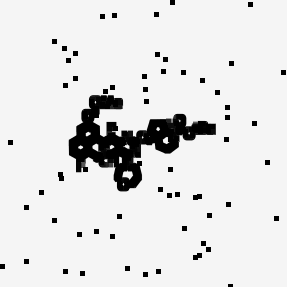 C#Cc1c(F)ccc2cc(OCOC)cc(-c3ncc4c(N5CCCOCC5)nc(OC[C@]56CCC[C@H]5N(C(=O)OC(C)(C)C)CCC6)nc4c3F)c12